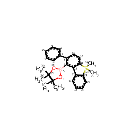 CC1(C)OB(c2c(-c3ccccc3)ccc3c2-c2ccccc2S3(C)C)OC1(C)C